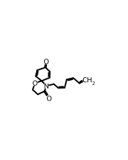 C=C/C=C\C=C/CN1C(=O)CCOC12C=CC(=O)C=C2